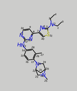 CCN(CC)c1nc(-c2ccnc(Nc3ccc(N4CC5CC4CN5C)c(C)c3)n2)cs1